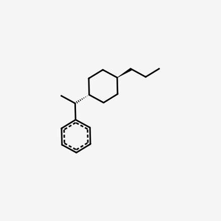 CCC[C@H]1CC[C@H](C(C)c2ccccc2)CC1